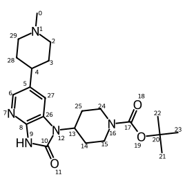 CN1CCC(c2cnc3[nH]c(=O)n(C4CCN(C(=O)OC(C)(C)C)CC4)c3c2)CC1